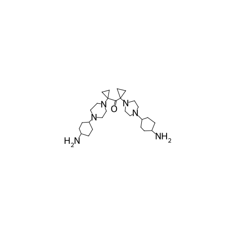 NC1CCC(N2CCN(C3(C(=O)C4(N5CCN(C6CCC(N)CC6)CC5)CC4)CC3)CC2)CC1